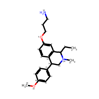 CCC1c2cc(OCCCN)ccc2C(c2ccc(OC)cc2)CN1C